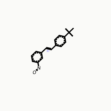 CC(C)(C)c1ccc(/C=C/c2cccc(N=O)c2)cc1